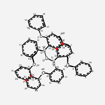 c1ccc(Oc2ccccc2[SiH](O[SiH](c2ccccc2Oc2ccccc2)c2ccccc2Oc2ccccc2)c2ccccc2Oc2ccccc2)cc1